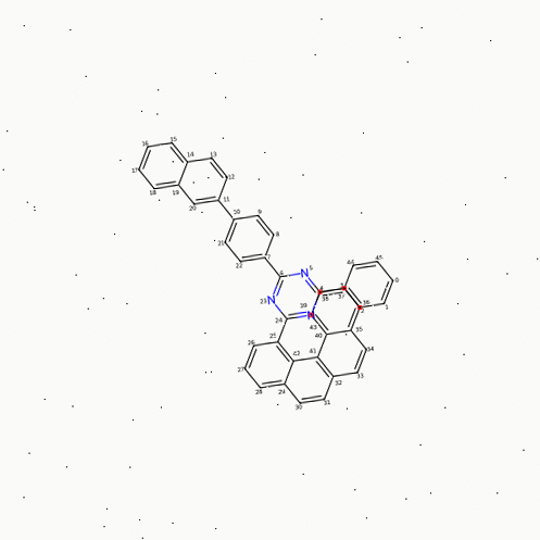 c1ccc(-c2nc(-c3ccc(-c4ccc5ccccc5c4)cc3)nc(-c3cccc4ccc5ccc6ccccc6c5c34)n2)cc1